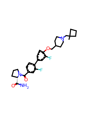 CC1(CN2CCC(COc3ccc(-c4ccc(C(=O)N5CCC[C@H]5C(N)=O)cc4F)cc3F)CC2)CCC1